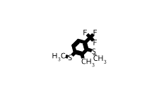 CSc1ccc(C(F)(F)F)c(SC)c1C